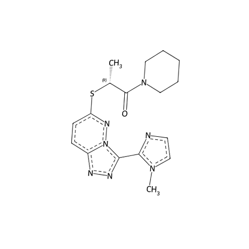 C[C@@H](Sc1ccc2nnc(-c3nccn3C)n2n1)C(=O)N1CCCCC1